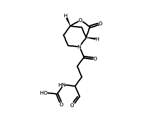 O=CC(CCC(=O)N1CC[C@H]2C[C@@H]1C(=O)O2)NC(=O)O